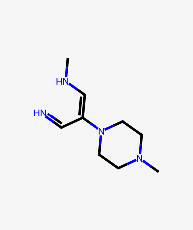 CN/C=C(\C=N)N1CCN(C)CC1